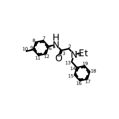 CCN(CC(=O)Nc1ccc(C)cc1)Cc1ccccc1